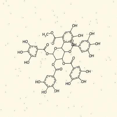 COC(=O)c1cc(O)c(O)c(O)c1C1OC(OC(=O)c2cc(O)c(O)c(O)c2)C(OC(=O)c2cc(O)c(O)c(O)c2)C(OC(=O)c2cc(O)c(O)c(O)c2)C1OC(=O)c1cc(O)c(O)c(O)c1